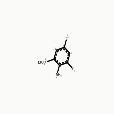 CCOC(=O)c1cc(Cl)cc(F)c1N